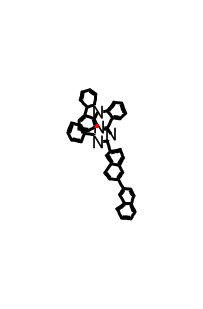 C1=CC2c3ccccc3N(c3ccccc3-c3nc(-c4ccccc4)nc(-c4ccc5cc(-c6ccc7ccccc7c6)ccc5c4)n3)C2C=C1